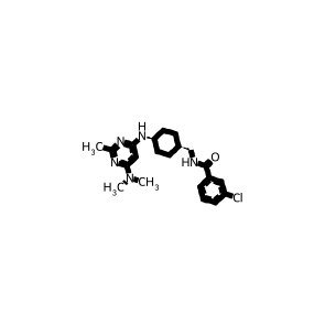 Cc1nc(N[C@H]2CC[C@@H](CNC(=O)c3cccc(Cl)c3)CC2)cc(N(C)C)n1